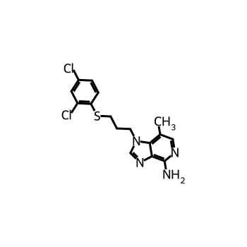 Cc1cnc(N)c2ncn(CCCSc3ccc(Cl)cc3Cl)c12